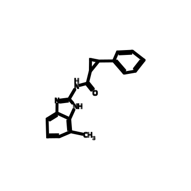 Cc1cccc2nc(NC(=O)C3CC3c3ccccc3)[nH]c12